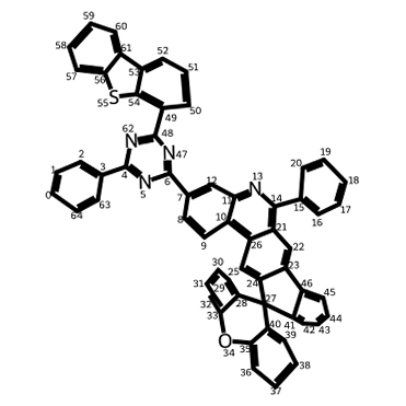 c1ccc(-c2nc(-c3ccc4c(c3)nc(-c3ccccc3)c3cc5c(cc34)C3(c4ccccc4Oc4ccccc43)c3ccccc3-5)nc(-c3cccc4c3sc3ccccc34)n2)cc1